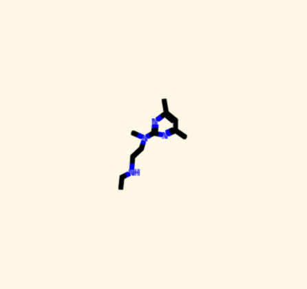 CCNCCN(C)c1nc(C)cc(C)n1